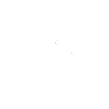 C[Si](C)(C)O[C]1CC1